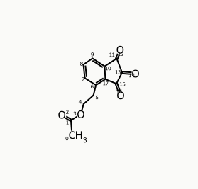 CC(=O)OCCc1cccc2c(=O)c(=O)c(=O)c12